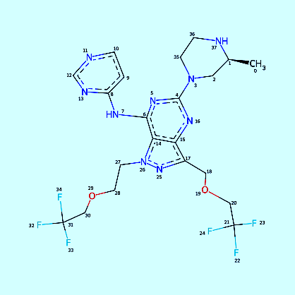 C[C@H]1CN(c2nc(Nc3ccncn3)c3c(n2)c(COCC(F)(F)F)nn3CCOCC(F)(F)F)CCN1